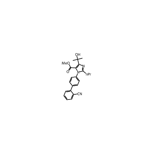 CCCc1nc(C(C)(C)O)c(C(=O)OC)n1-c1ccc(-c2ccccc2C#N)cc1